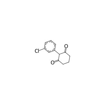 O=C1CCCC(=O)C1c1cccc(Cl)c1